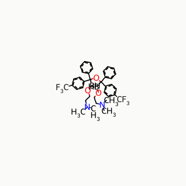 CN(C)CCOBC(OC(BOCCN(C)C)(c1ccccc1)c1ccc(C(F)(F)F)cc1)(c1ccccc1)c1ccc(C(F)(F)F)cc1